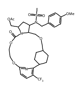 COc1ccc(CN(C2CC(COC(C)=O)N3C(=O)OCCOc4ccc(C(F)(F)F)c(n4)C4CCC(CC4)OCC23)S(C)(=O)=O)cc1